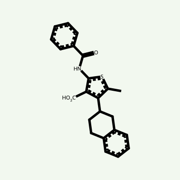 Cc1sc(NC(=O)c2ccccc2)c(C(=O)O)c1C1CCc2ccccc2C1